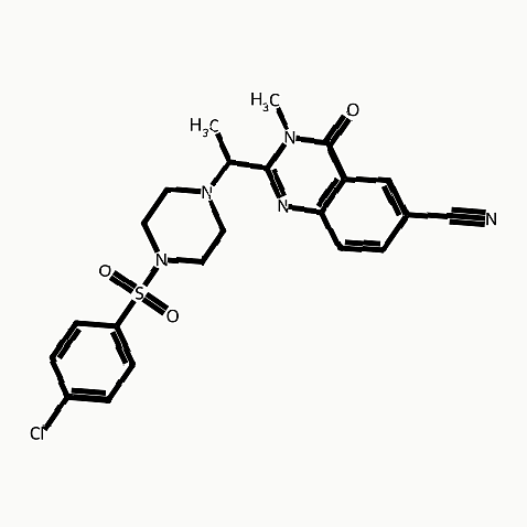 CC(c1nc2ccc(C#N)cc2c(=O)n1C)N1CCN(S(=O)(=O)c2ccc(Cl)cc2)CC1